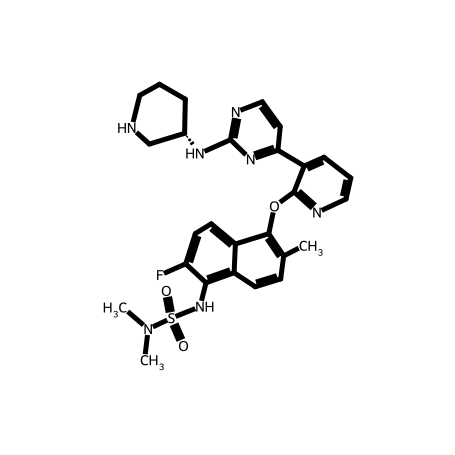 Cc1ccc2c(NS(=O)(=O)N(C)C)c(F)ccc2c1Oc1ncccc1-c1ccnc(N[C@H]2CCCNC2)n1